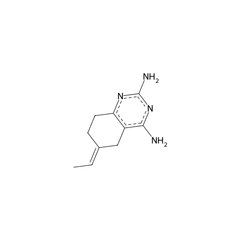 CC=C1CCc2nc(N)nc(N)c2C1